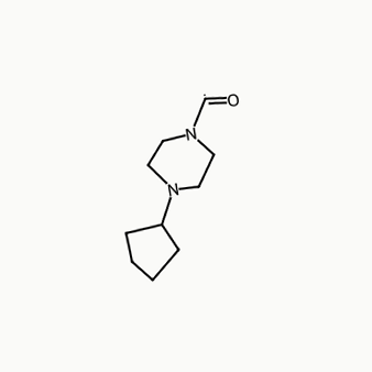 O=[C]N1CCN(C2CCCC2)CC1